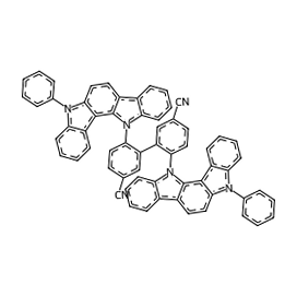 N#Cc1ccc(-n2c3ccccc3c3ccc4c(c5ccccc5n4-c4ccccc4)c32)c(-c2cc(C#N)ccc2-n2c3ccccc3c3ccc4c(c5ccccc5n4-c4ccccc4)c32)c1